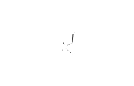 CCCCCS(C)(C)C(C)C